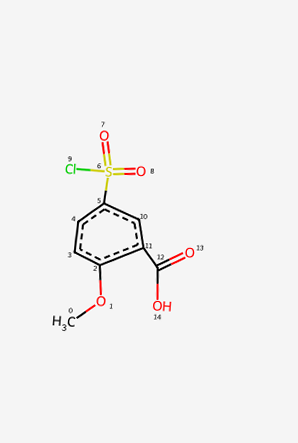 COc1ccc(S(=O)(=O)Cl)cc1C(=O)O